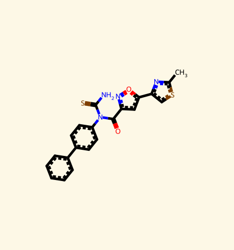 Cc1nc(-c2cc(C(=O)N(C(N)=S)c3ccc(-c4ccccc4)cc3)no2)cs1